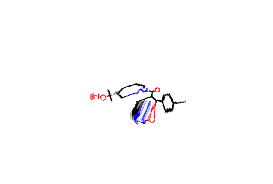 Cc1ccc(-c2oncc2C(=O)N2CCC[C@@H](C(C)(C)O)C2)cc1